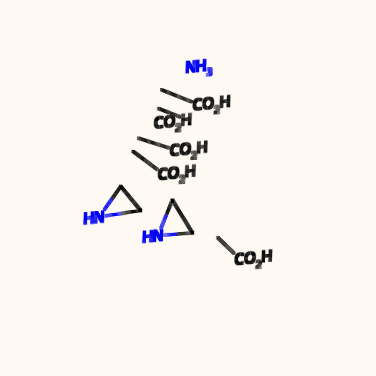 C1CN1.C1CN1.CC(=O)O.CC(=O)O.CC(=O)O.CC(=O)O.CC(=O)O.N